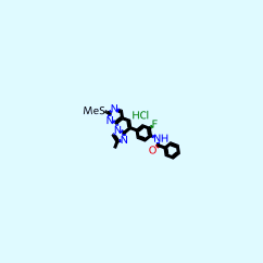 CSc1ncc2cc(-c3ccc(NC(=O)c4ccccc4)c(F)c3)c3nc(C)cn3c2n1.Cl